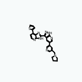 c1csc(-c2ccnc3[nH]c(-c4n[nH]c5ncc(-c6cncc(CN7CCCC7)c6)cc45)nc23)c1